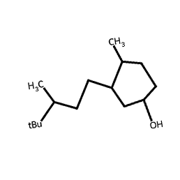 CC1CCC(O)CC1CCC(C)C(C)(C)C